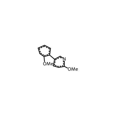 COc1ccc(-c2ccccc2OC)cn1